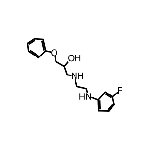 OC(CNCCNc1cccc(F)c1)COc1ccccc1